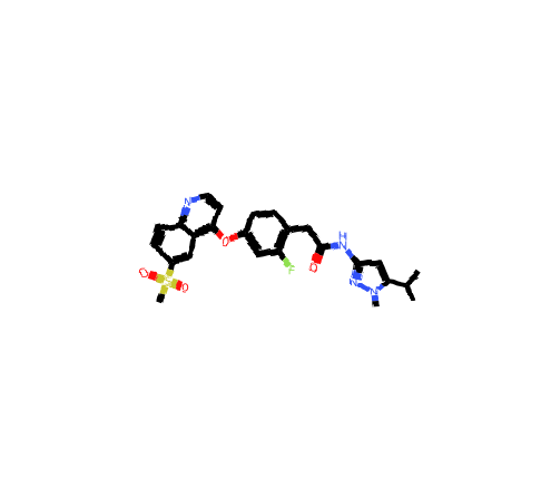 CC(C)c1cc(NC(=O)Cc2ccc(Oc3ccnc4ccc(S(C)(=O)=O)cc34)cc2F)nn1C